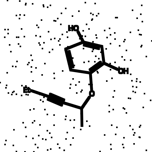 CCC#CC(C)Oc1ccc(O)cc1O